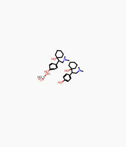 CN(C)CC(c1ccc(O)cc1)C1(O)CCCCC1.CN(C)CC(c1ccc(O)cc1)C1(O)CCCCC1.O.O=S(=O)(O)O